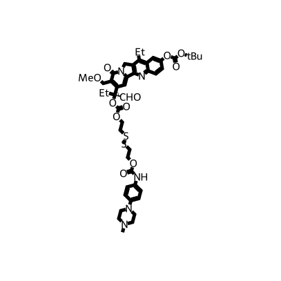 CCc1c2c(nc3ccc(OC(=O)OC(C)(C)C)cc13)-c1cc([C@](C=O)(CC)OC(=O)OCCSSCCOC(=O)Nc3ccc(N4CCN(C)CC4)cc3)c(COC)c(=O)n1C2